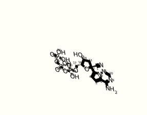 N#C[C@]1(c2ccc3c(N)ncnn23)C[C@H](O)[C@@H](COP(=O)(O)OP(=O)(O)OP(=O)(O)O)O1